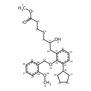 COC(=O)CCSCC(O)Cc1cccc(C2CCCC2)c1OCc1ccccc1OC